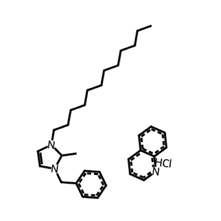 CCCCCCCCCCCCN1C=CN(Cc2ccccc2)C1C.Cl.c1ccc2ncccc2c1